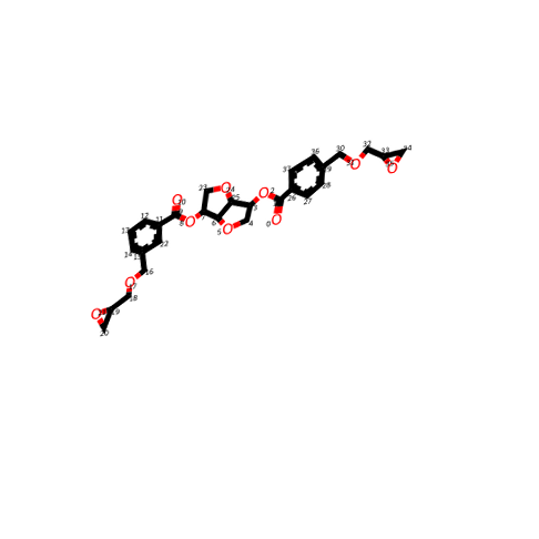 O=C(OC1COC2C(OC(=O)c3cccc(COCC4CO4)c3)COC12)c1ccc(COCC2CO2)cc1